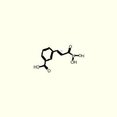 O=C(O)c1cccc(/C=C/C(=O)N(O)O)c1